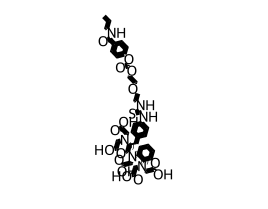 CCCNC(=O)c1ccc(OC(=O)OCCOCCNC(=S)Nc2ccc(C[C@@H](CN(CC(=O)O)[C@@H]3CCCC[C@H]3N(CC(=O)O)CC(=O)O)N(CC(=O)O)CC(=O)O)cc2)cc1